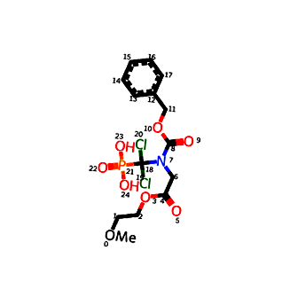 COCCOC(=O)CN(C(=O)OCc1ccccc1)C(Cl)(Cl)P(=O)(O)O